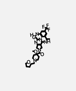 COC1(C(=O)N2Cc3nc(Cl)nc(NC(C)c4cc(N)cc(C(F)(F)F)c4)c3C2)CCN(CC2CCCO2)CC1